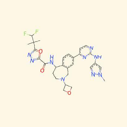 Cn1cc(Nc2nccc(-c3ccc4c(c3)CN(C3COC3)CCC4NC(=O)c3nnc(C(C)(C)C(F)F)o3)n2)cn1